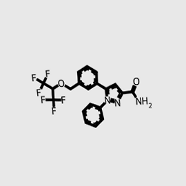 NC(=O)c1cc(-c2cccc(COC(C(F)(F)F)C(F)(F)F)c2)n(-c2ccccc2)n1